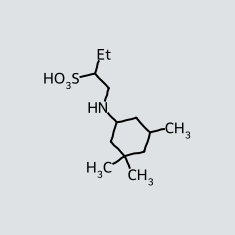 CCC(CNC1CC(C)CC(C)(C)C1)S(=O)(=O)O